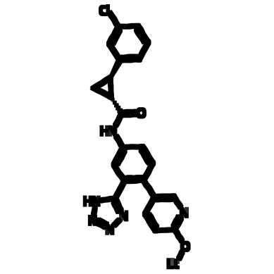 CCOc1ccc(-c2ccc(NC(=O)[C@@H]3C[C@H]3c3cccc(Cl)c3)cc2-c2nnn[nH]2)cn1